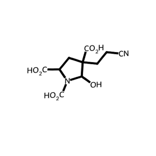 N#CCCC1(C(=O)O)CC(C(=O)O)N(C(=O)O)C1O